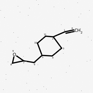 C=CC1CCC([CH]C2CO2)CC1